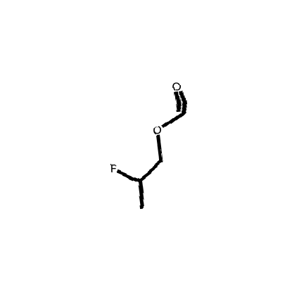 CC(F)COC=O